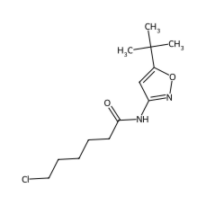 CC(C)(C)c1cc(NC(=O)CCCCCCl)no1